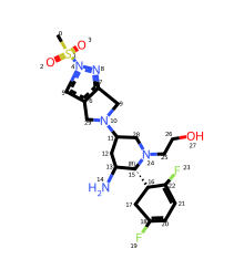 CS(=O)(=O)n1cc2c(n1)CN(C1CC(N)[C@@H](C3CC(F)=CC=C3F)N(CCO)C1)C2